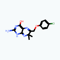 CC1(C)N=C2NC(N)=NC(O)=C2N=C1COc1ccc(Cl)cc1